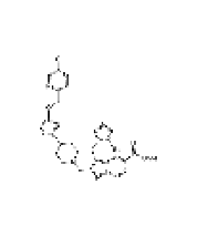 CCn1cncc1Cn1c(CN2CCC(n3ccc(OCc4ccc(Cl)cn4)n3)CC2)nc2ccc(C(=O)OC)cc21